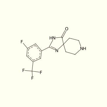 O=C1NC(c2cc(F)cc(C(F)(F)F)c2)=NC12CCNCC2